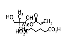 C=CC(=O)OC.CC(C)(CO)CO.O=C(O)CCCCC(=O)O